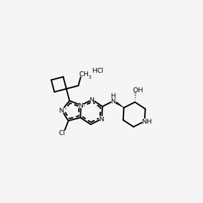 CCC1(c2nc(Cl)c3cnc(N[C@@H]4CCNC[C@H]4O)nn23)CCC1.Cl